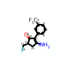 NC1=C(c2cccc(C(F)(F)F)c2)C(=O)C(CF)C1